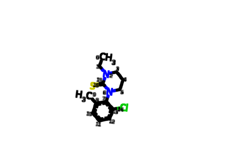 CCN1CCCN(c2c(C)cccc2Cl)C1=S